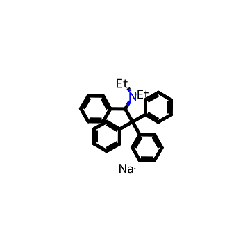 CCN(CC)C(c1ccccc1)C(c1ccccc1)(c1ccccc1)c1ccccc1.[Na]